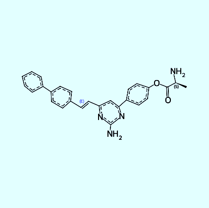 C[C@H](N)C(=O)Oc1ccc(-c2cc(/C=C/c3ccc(-c4ccccc4)cc3)nc(N)n2)cc1